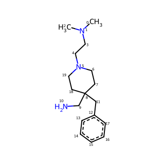 CN(C)CCN1CCC(CN)(Cc2ccccc2)CC1